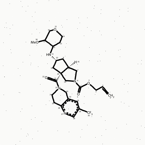 C=CCOC(=O)N1C[C@@H]2C[C@@H](NC3CCOCC3OC)C[C@]2(C(=O)N2CCc3ncc(C(F)(F)F)cc3C2)C1